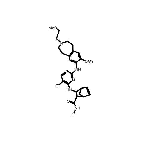 COCCN1CCc2cc(Nc3ncc(Cl)c(NC4C5C=CC(C5)C4C(=O)NC(C)C)n3)c(OC)cc2CC1